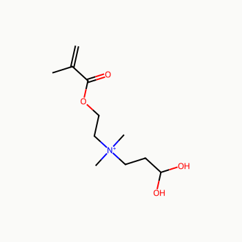 C=C(C)C(=O)OCC[N+](C)(C)CCC(O)O